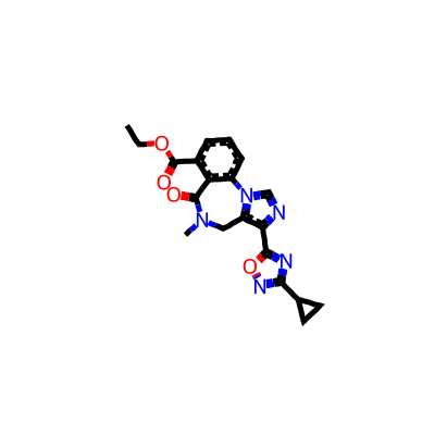 CCOC(=O)c1cccc2c1C(=O)N(C)Cc1c(-c3nc(C4CC4)no3)ncn1-2